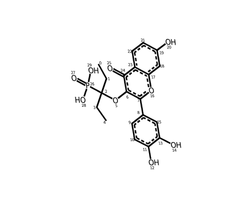 CCC(CC)(Oc1c(-c2ccc(O)c(O)c2)oc2cc(O)ccc2c1=O)P(=O)(O)O